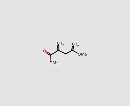 C=C(CC(=C)C(=O)OC)OC